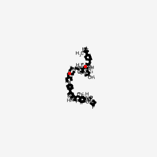 Cc1ncsc1-c1ccc(Cc2cnc([C@@H]3C[C@@H](O)CN3C(=O)[C@@H](NC(=O)CN3CCN(CC4CCN(c5ccc(-c6cnc7[nH]cc(C(=O)c8c(F)ccc(NS(=O)(=O)N9CC[C@@H](F)C9)c8F)c7c6)cc5)CC4)CC3)C(C)(C)C)[nH]2)cc1